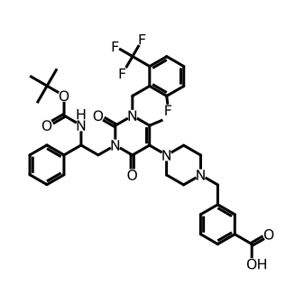 Cc1c(N2CCN(Cc3cccc(C(=O)O)c3)CC2)c(=O)n(CC(NC(=O)OC(C)(C)C)c2ccccc2)c(=O)n1Cc1c(F)cccc1C(F)(F)F